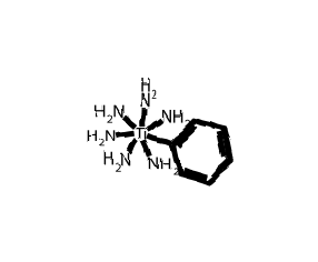 [NH2][Ti]([NH2])([NH2])([NH2])([NH2])([NH2])[c]1ccccc1